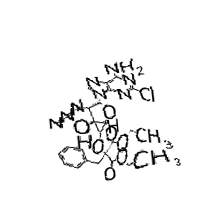 CCOC(=O)C(Cc1ccccc1)(OC1[C@H]2O[C@@H](n3cnc4c(N)nc(Cl)nc43)C(N=[N+]=[N-])[C@@]12O)C(=O)OCC